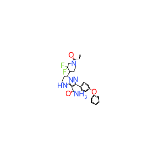 C=CC(=O)N1CCC([C@@H]2CCNc3c(C(N)=O)c(-c4ccc(Oc5ccccc5)cc4)nn32)C(F)(F)C1